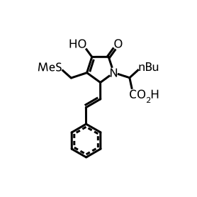 CCCCC(C(=O)O)N1C(=O)C(O)=C(CSC)C1C=Cc1ccccc1